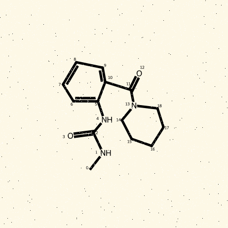 CNC(=O)Nc1ccccc1C(=O)N1CCCCC1